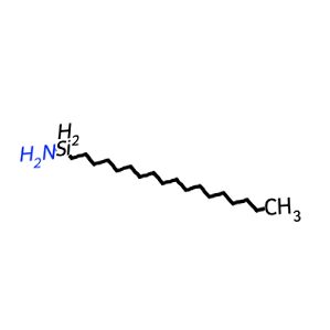 CCCCCCCCCCCCCCCCCC[SiH2]N